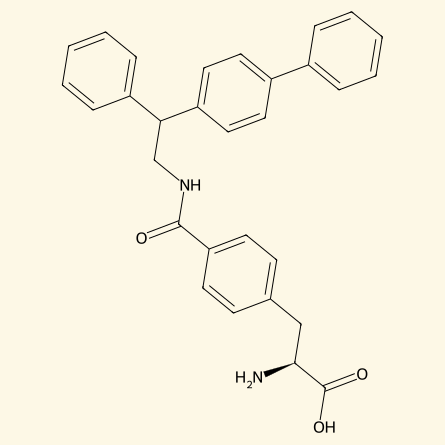 N[C@@H](Cc1ccc(C(=O)NCC(c2ccccc2)c2ccc(-c3ccccc3)cc2)cc1)C(=O)O